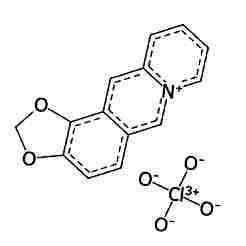 [O-][Cl+3]([O-])([O-])[O-].c1cc[n+]2cc3ccc4c(c3cc2c1)OCO4